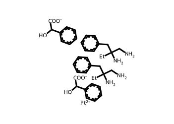 CCC(N)(CN)Cc1ccccc1.CCC(N)(CN)Cc1ccccc1.O=C([O-])C(O)c1ccccc1.O=C([O-])C(O)c1ccccc1.[Pt+2]